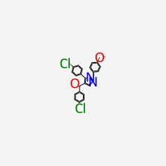 COc1ccc(-n2ncc(C(=O)c3ccc(Cl)cc3)c2-c2ccc(Cl)cc2)cc1